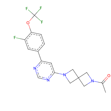 CC(=O)N1CC2(C1)CN(c1cc(-c3ccc(OC(F)(F)F)c(F)c3)ncn1)C2